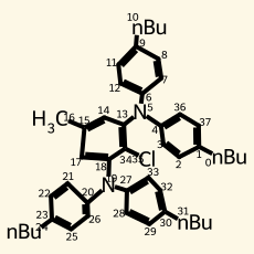 CCCCc1ccc(N(c2ccc(CCCC)cc2)c2cc(C)cc(N(c3ccc(CCCC)cc3)c3ccc(CCCC)cc3)c2Cl)cc1